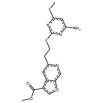 COC(=O)c1coc2cnc(CCSc3nc(N)cc(SC)n3)cc12